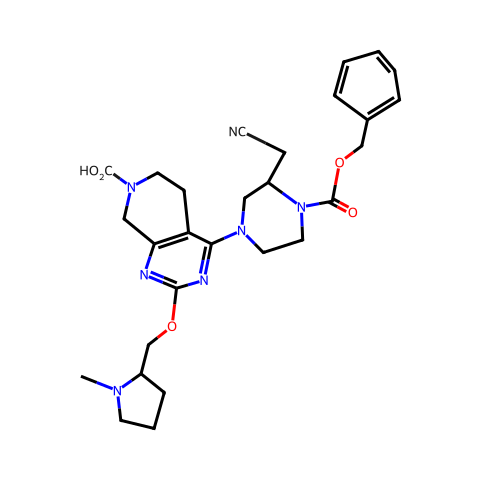 CN1CCCC1COc1nc2c(c(N3CCN(C(=O)OCc4ccccc4)C(CC#N)C3)n1)CCN(C(=O)O)C2